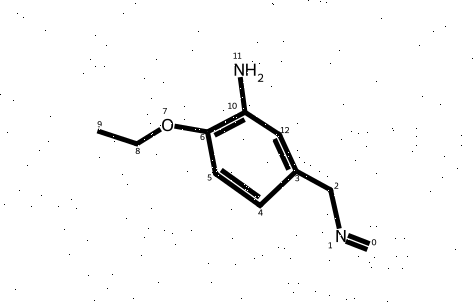 C=NCc1ccc(OCC)c(N)c1